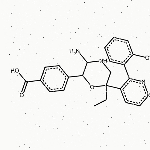 CCC1(c2ccnnc2-c2ccccc2O)CNC(N)C(c2ccc(C(=O)O)cc2)O1